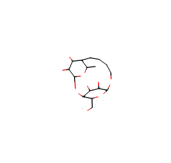 CC1OC2OC3C(CO)OC(OCCCCC1C(O)C2O)C(O)C3O